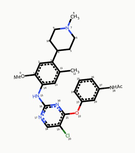 COc1cc(C2CCN(C)CC2)c(C)cc1Nc1ncc(Cl)c(Oc2cccc(NC(C)=O)c2)n1